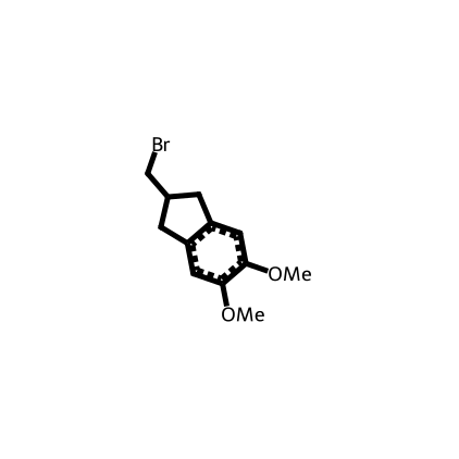 COc1cc2c(cc1OC)CC(CBr)C2